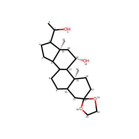 CC(O)C1CCC2C3CCC4CC5(CC[C@]4(C)C3[C@@H](O)C[C@]12C)OCCO5